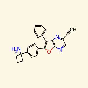 C#Cc1cnc2oc(-c3ccc(C4(N)CCC4)cc3)c(-c3ccccc3)c2n1